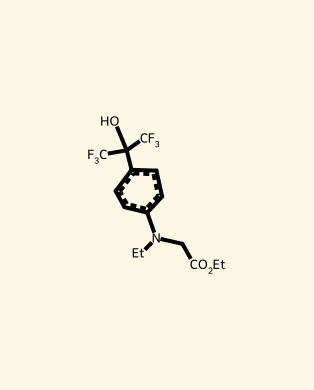 CCOC(=O)CN(CC)c1ccc(C(O)(C(F)(F)F)C(F)(F)F)cc1